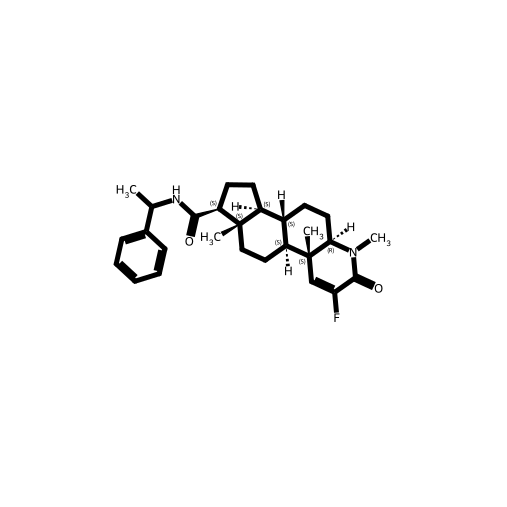 CC(NC(=O)[C@H]1CC[C@H]2[C@@H]3CC[C@H]4N(C)C(=O)C(F)=C[C@]4(C)[C@H]3CC[C@]12C)c1ccccc1